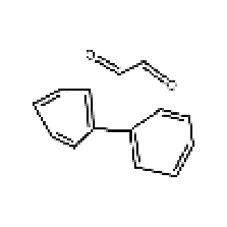 O=CC=O.c1ccc(-c2ccccc2)cc1